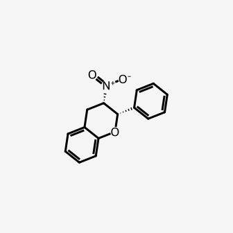 O=[N+]([O-])[C@H]1Cc2ccccc2O[C@H]1c1ccccc1